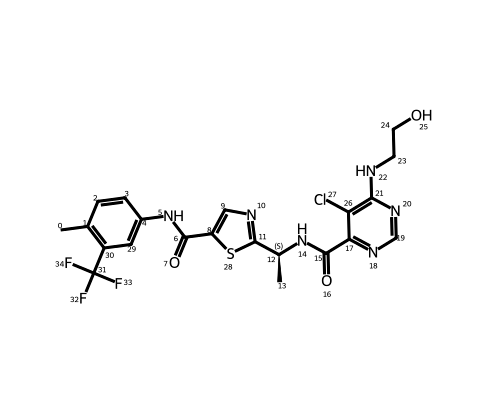 Cc1ccc(NC(=O)c2cnc([C@H](C)NC(=O)c3ncnc(NCCO)c3Cl)s2)cc1C(F)(F)F